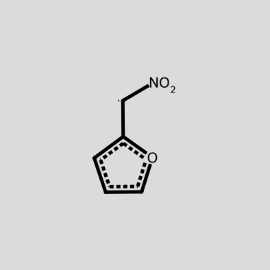 O=[N+]([O-])[CH]c1ccco1